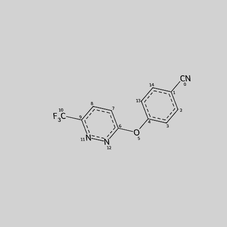 N#Cc1ccc(Oc2ccc(C(F)(F)F)nn2)cc1